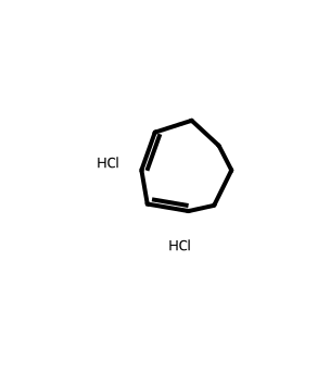 C1=CCCCCC=C1.Cl.Cl